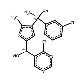 Cc1sc([C@@H](O)c2cncnc2Cl)cc1[C@@](C)(O)c1cccc(Cl)c1